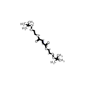 CC(C)(C)OOCCOC(=O)/C=C/C(=O)OCCOOC(C)(C)C